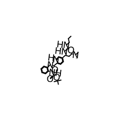 CCCNC(=O)NC(CCN(C)C)c1ccc(C(=O)Nc2ccccc2NC(=O)OC(C)(C)C)nc1